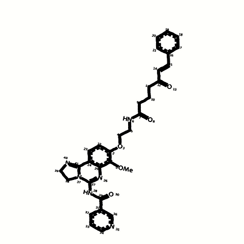 COc1c(OCCNC(=O)CCCC(=O)/C=C/c2ccccc2)ccc2c1N=C(NC(=O)c1cccnc1)N1CCN=C21